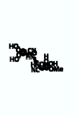 COc1cc(C=C(C#N)C(=O)NCCCNC(=O)C(C#N)=Cc2ccc(OCO)c(OCO)c2)cc(O)c1O